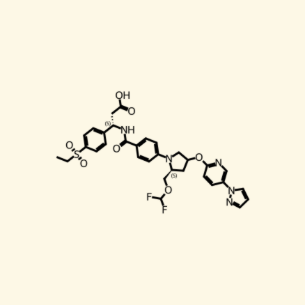 CCS(=O)(=O)c1ccc([C@H](CC(=O)O)NC(=O)c2ccc(N3CC(Oc4ccc(-n5cccn5)cn4)C[C@H]3COC(F)F)cc2)cc1